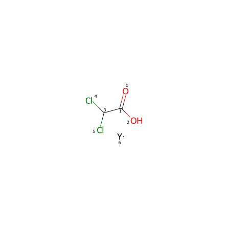 O=C(O)C(Cl)Cl.[Y]